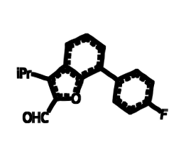 CC(C)c1c(C=O)oc2c(-c3ccc(F)cc3)cccc12